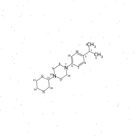 CC(C)c1ccc(N2CCN(C3CCCCC3)CC2)cc1